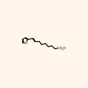 O=C(O)CCCCCCC=Cc1ccco1